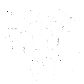 CC1=C(c2cccc3ccccc23)c2ccccc2[CH]1[Hf+2]([CH]1C(C)=C(c2cccc3ccccc23)c2ccccc21)=[Ge]([c]1ccccc1)[c]1ccccc1.[Cl-].[Cl-]